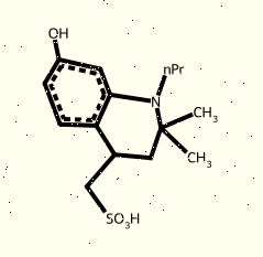 CCCN1c2cc(O)ccc2C(CS(=O)(=O)O)CC1(C)C